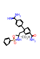 C[C@@](Cc1cc(C(N)=O)ccc1-c1ccc(C(=N)N)cc1)(NS(=O)(=O)c1ccccc1)C(=O)O